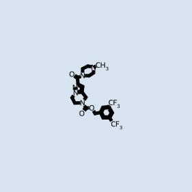 CN1CCN(C(=O)c2cc3n(n2)CCN(C(=O)OCc2cc(C(F)(F)F)cc(C(F)(F)F)c2)C3)CC1